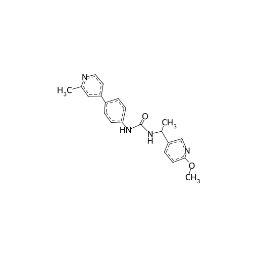 COc1ccc(C(C)NC(=O)Nc2ccc(-c3ccnc(C)c3)cc2)cn1